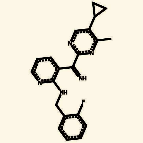 Cc1nc(C(=N)c2cccnc2NCc2ccccc2F)ncc1C1CC1